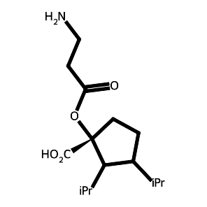 CC(C)C1CC[C@](OC(=O)CCN)(C(=O)O)C1C(C)C